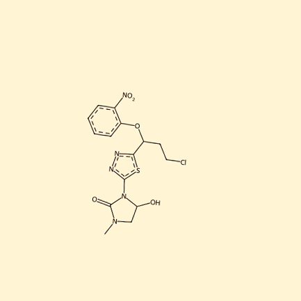 CN1CC(O)N(c2nnc(C(CCCl)Oc3ccccc3[N+](=O)[O-])s2)C1=O